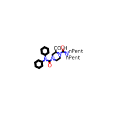 CCCCCN(CCCCC)C(=O)N1CCN(C(=O)N(c2ccccc2)c2ccccc2)CC1C(=O)O